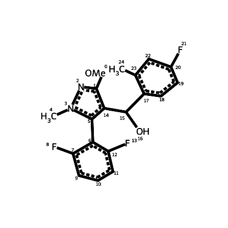 COc1nn(C)c(-c2c(F)cccc2F)c1C(O)c1ccc(F)cc1C